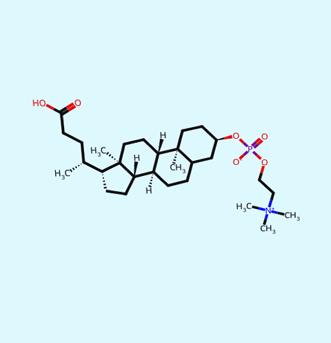 C[C@H](CCC(=O)O)[C@H]1CC[C@H]2[C@@H]3CCC4C[C@H](OP(=O)([O-])OCC[N+](C)(C)C)CC[C@]4(C)[C@H]3CC[C@]12C